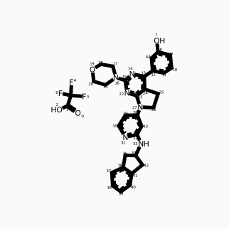 O=C(O)C(F)(F)F.Oc1cccc(-c2nc(N3CCOCC3)nc3c2CCN3c2ccnc(NC3Cc4ccccc4C3)c2)c1